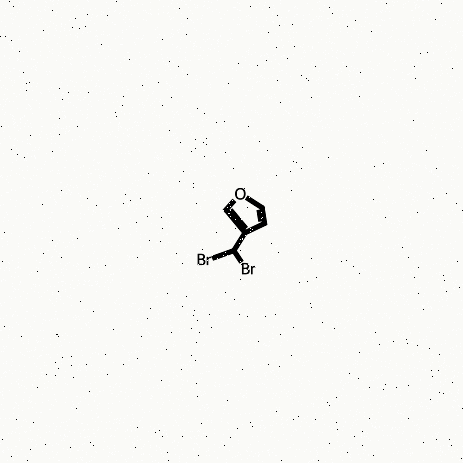 BrC(Br)c1ccoc1